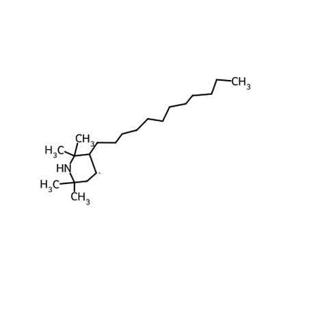 CCCCCCCCCCCCC1[CH]CC(C)(C)NC1(C)C